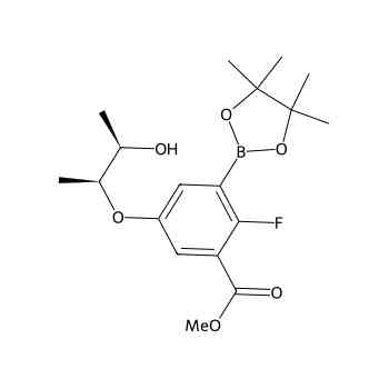 COC(=O)c1cc(O[C@@H](C)[C@@H](C)O)cc(B2OC(C)(C)C(C)(C)O2)c1F